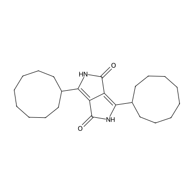 O=C1NC(C2CCCCCCCC2)=C2C(=O)NC(C3CCCCCCCC3)=C12